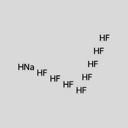 F.F.F.F.F.F.F.F.[NaH]